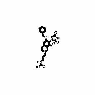 O=C(O)NCCCN1CCc2cc(OCc3ccccc3)c(N3CC(=O)NS3(=O)=O)c(F)c2C1